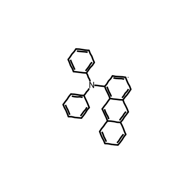 [c]1cc(N(c2ccccc2)c2ccccc2)c2cc3ccccc3cc2c1